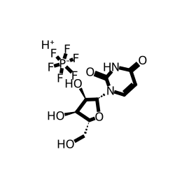 F[P-](F)(F)(F)(F)F.O=c1ccn([C@@H]2O[C@H](CO)[C@@H](O)[C@H]2O)c(=O)[nH]1.[H+]